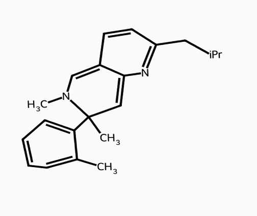 Cc1ccccc1C1(C)C=c2nc(CC(C)C)ccc2=CN1C